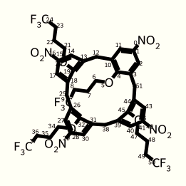 O=[N+]([O-])c1cc2c(OCCCC(F)(F)F)c(c1)Cc1cc([N+](=O)[O-])cc(c1OCCCC(F)(F)F)Cc1cc([N+](=O)[O-])cc(c1OCCCC(F)(F)F)Cc1cc([N+](=O)[O-])cc(c1OCCCC(F)(F)F)C2